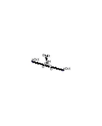 CCCCCCCC/C=C\CCCCCCCC(=O)OCC(COC(=O)CCCCCCC/C=C\CCCCCCCC)OC(=O)NCCCN(CC)CC